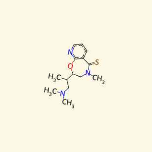 CC(CN(C)C)C1CN(C)C(=S)c2cccnc2O1